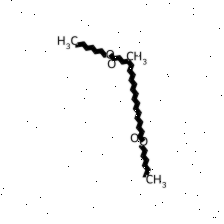 CCCCCCCCOC(=O)CCCCCCCCCCCCCCCC(C)CCC(=O)OCCCCCCCC